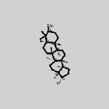 CC(=O)O[C@H]1CC[C@]2(C)[C@H]3CC[C@@H]4[C@@]5(C)CC[C@H](C(C)C)[C@@H]5CC[C@@]4(C)[C@]3(C)CC[C@H]2C1(C)C